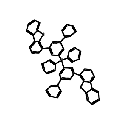 c1ccc(-c2cc(-c3cccc4c3sc3ccccc34)cc([Si](c3ccccc3)(c3ccccc3)c3cc(-c4ccccc4)cc(-c4cccc5c4sc4ccccc45)c3)c2)cc1